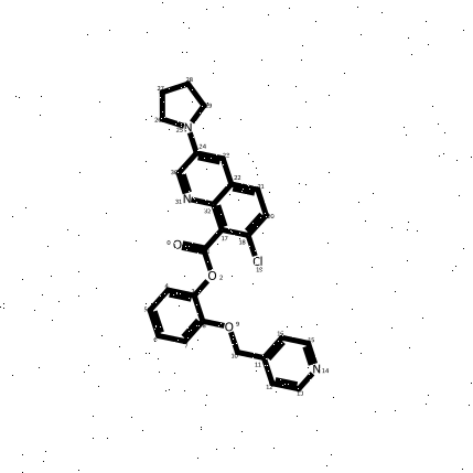 O=C(Oc1ccccc1OCc1ccncc1)c1c(Cl)ccc2cc(N3CCCC3)cnc12